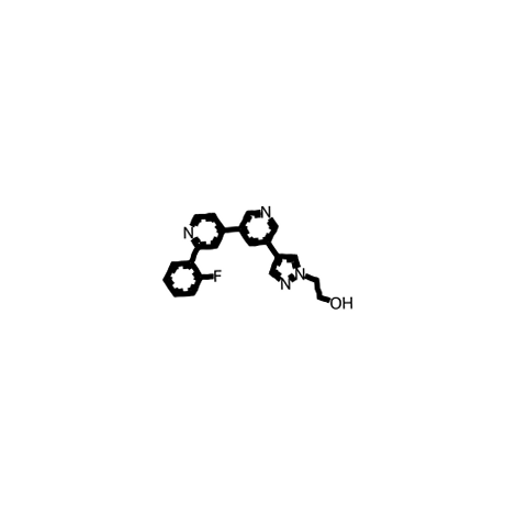 OCCn1cc(-c2cncc(-c3ccnc(-c4ccccc4F)c3)c2)cn1